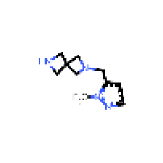 FC(F)(F)n1nccc1CN1CC2(CNC2)C1